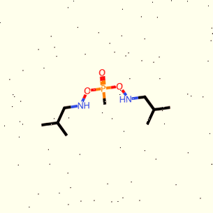 CC(C)CNOP(C)(=O)ONCC(C)C